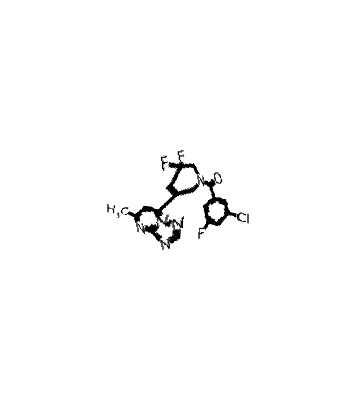 Cc1cc(C2CN(C(=O)c3cc(F)cc(Cl)c3)CC(F)(F)C2)n2ncnc2n1